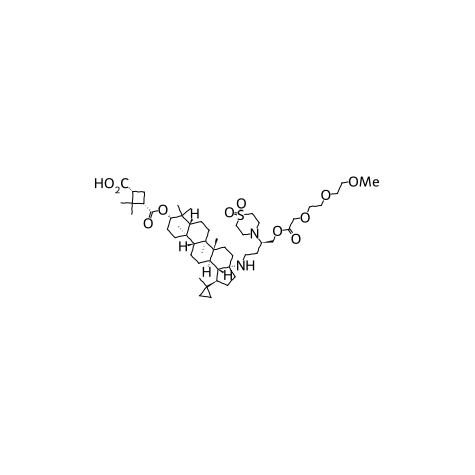 COCCOCCOCC(=O)OC[C@@H](CCN[C@]12CC[C@@H](C3(C)CC3)[C@@H]1[C@H]1CC[C@@H]3[C@@]4(C)CC[C@H](OC(=O)[C@H]5C[C@@H](C(=O)O)C5(C)C)C(C)(C)[C@@H]4CC[C@@]3(C)[C@]1(C)CC2)N1CCS(=O)(=O)CC1